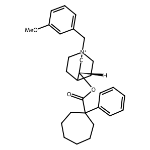 COc1cccc(C[N+]23CCC(CC2)[C@@H](OC(=O)C2(c4ccccc4)CCCCCC2)C3)c1